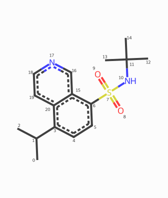 CC(C)c1ccc(S(=O)(=O)NC(C)(C)C)c2cnccc12